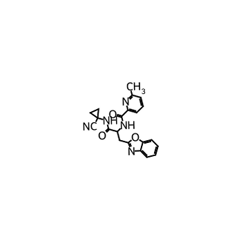 Cc1cccc(C(=O)NC(Cc2nc3ccccc3o2)C(=O)NC2(C#N)CC2)n1